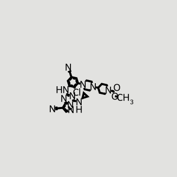 COC(=O)N1CCC(N2CCN(c3cc(C#N)cc(Nc4nc(NC5CC5)n5ncc(C#N)c5n4)c3Cl)CC2)CC1